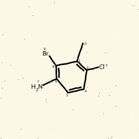 Cc1c(Cl)ccc(N)c1Br